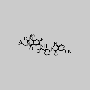 CC(C)n1c(=O)n(CC2CC2)c(=O)c2cc(NC(=O)N3CCC[C@@H](n4cnc5ccc(C#N)cc5c4=O)C3)c(F)cc21